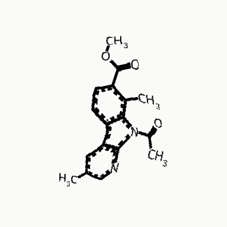 COC(=O)c1ccc2c3cc(C)cnc3n(C(C)=O)c2c1C